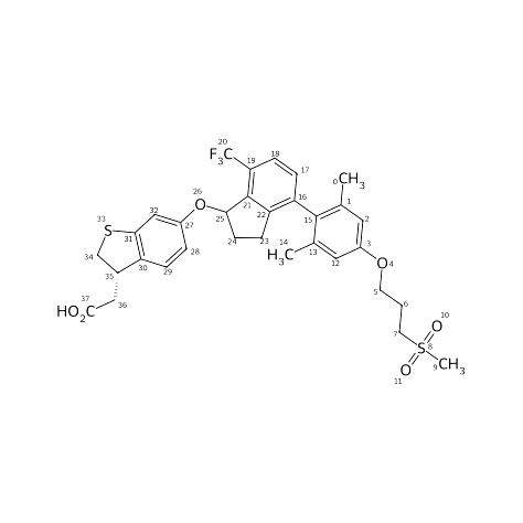 Cc1cc(OCCCS(C)(=O)=O)cc(C)c1-c1ccc(C(F)(F)F)c2c1CCC2Oc1ccc2c(c1)SC[C@H]2CC(=O)O